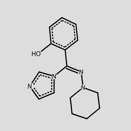 Oc1ccccc1C(=NN1CCCCC1)n1ccnc1